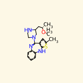 CO[C@@H](C)CC1CN(C2=Nc3ccccc3Nc3sc(C)cc32)CCN1